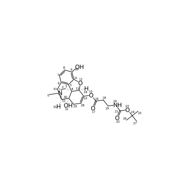 CN1CC[C@]23c4c5ccc(O)c4O[C@H]2C(OC(=O)CCNC(=O)OC(C)(C)C)=CC[C@@]3(O)[C@H]1C5